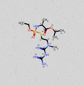 CCOP(=O)(N[C@@H](C)C(=O)OC(C)C)SCCN(C)C(=N)NC(=N)N